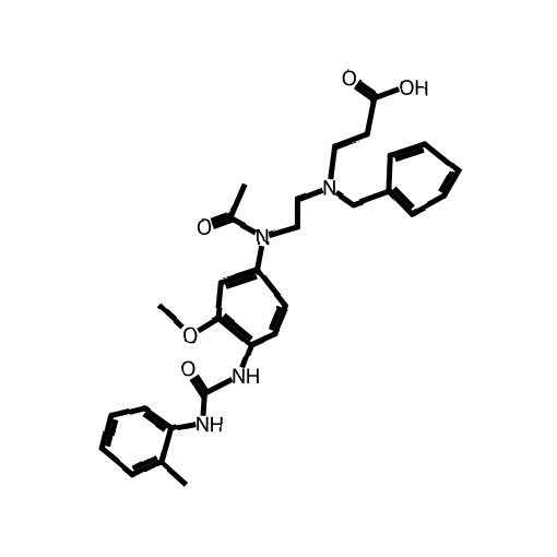 COc1cc(N(CCN(CCC(=O)O)Cc2ccccc2)C(C)=O)ccc1NC(=O)Nc1ccccc1C